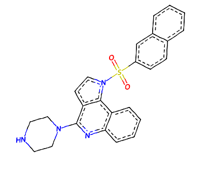 O=S(=O)(c1ccc2ccccc2c1)n1ccc2c(N3CCNCC3)nc3ccccc3c21